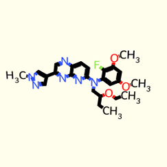 CCOC(CC)CN(c1ccc2ncc(-c3cnn(C)c3)nc2n1)c1cc(OC)cc(OC)c1F